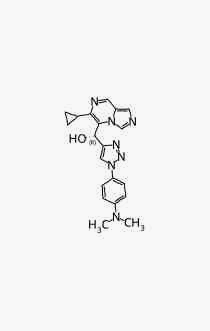 CN(C)c1ccc(-n2cc([C@H](O)c3c(C4CC4)ncc4cncn34)nn2)cc1